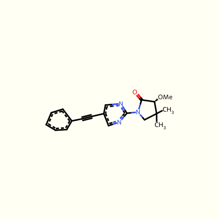 CO[C@@H]1C(=O)N(c2ncc(C#Cc3ccccc3)cn2)CC1(C)C